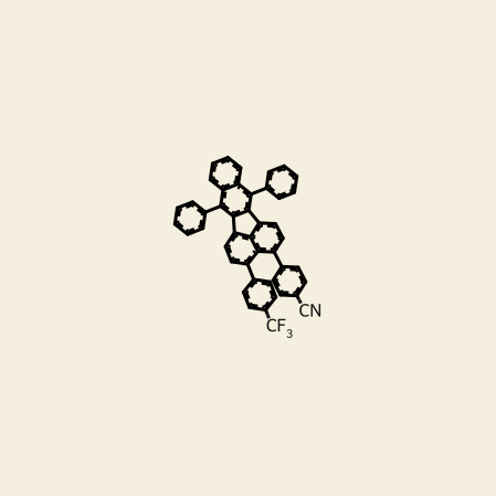 N#Cc1ccc(-c2ccc3c4c(ccc(-c5ccc(C(F)(F)F)cc5)c24)-c2c-3c(-c3ccccc3)c3ccccc3c2-c2ccccc2)cc1